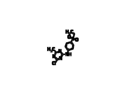 C=CS(=O)(=O)c1ccc(Nc2nc(C)nc(Cl)n2)cc1